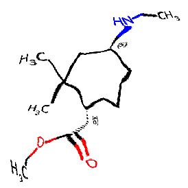 CN[C@H]1CC[C@H](C(=O)OC)C(C)(C)C1